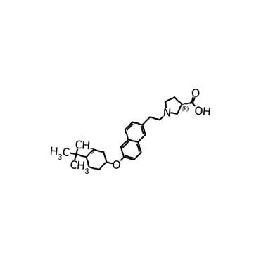 CC(C)(C)C1CCC(Oc2ccc3cc(CCN4CC[C@@H](C(=O)O)C4)ccc3c2)CC1